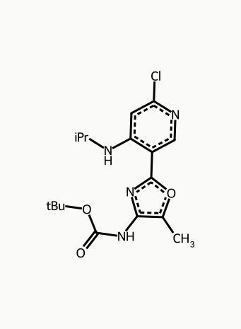 Cc1oc(-c2cnc(Cl)cc2NC(C)C)nc1NC(=O)OC(C)(C)C